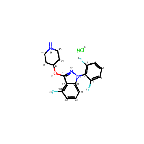 Cl.Fc1cccc(F)c1-n1nc(OC2CCNCC2)c2c(F)cccc21